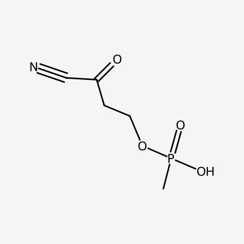 CP(=O)(O)OCCC(=O)C#N